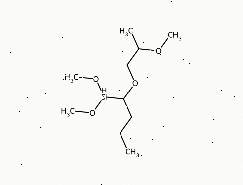 CCCC(OCC(C)OC)[SiH](OC)OC